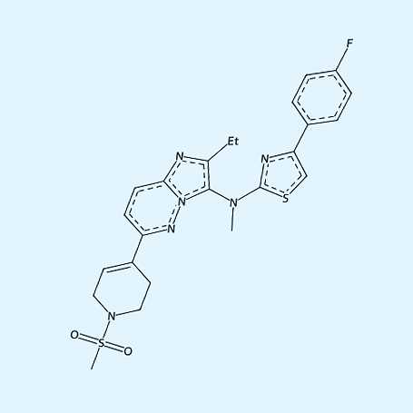 CCc1nc2ccc(C3=CCN(S(C)(=O)=O)CC3)nn2c1N(C)c1nc(-c2ccc(F)cc2)cs1